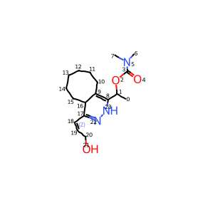 CC(OC(=O)N(C)C)C1=C2CCCCCCC2C(/C=C\CO)=NN1